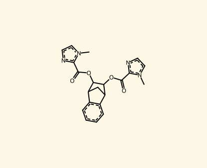 Cn1ccnc1C(=O)OC1C2CC(c3ccccc32)C1OC(=O)c1nccn1C